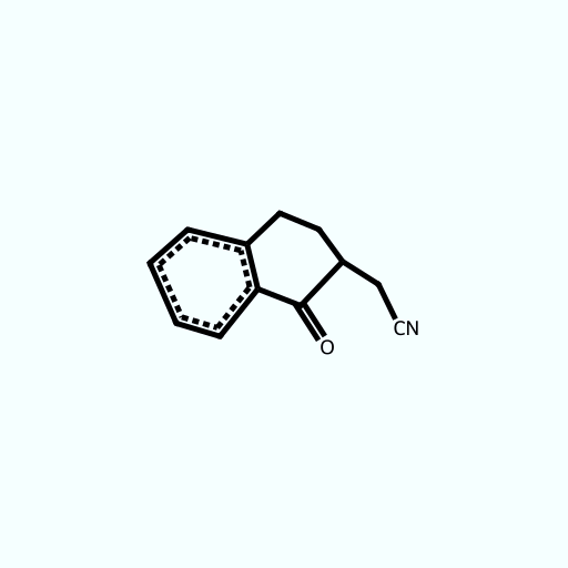 N#CCC1CCc2ccccc2C1=O